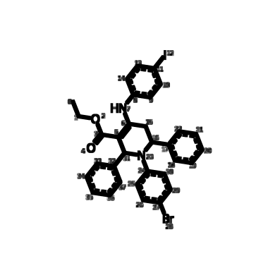 CCOC(=O)C1=C(Nc2ccc(I)cc2)CC(c2ccccc2)N(c2ccc(Br)cc2)C1c1ccccc1